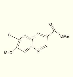 COC(=O)c1cnc2cc(OC)c(F)cc2c1